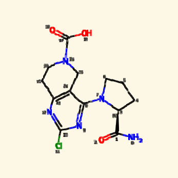 NC(=O)[C@@H]1CCCN1c1nc(Cl)nc2c1CN(C(=O)O)CC2